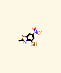 Cc1nc2c(S)cc([N+](=O)[O-])cc2s1